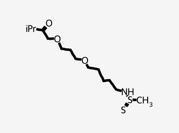 CC(C)C(=O)COCCCOCCCCCNS(C)=S